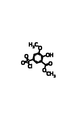 COC(=O)c1cc(S(=O)(=O)Cl)cc(OC)c1O